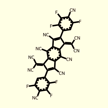 N#CC(C#N)=C1C(c2cc(F)c(C#N)c(F)c2F)=C(C#N)c2c(C#N)c3c(c(C#N)c21)C(C#N)=C(c1cc(F)c(C#N)c(F)c1F)C3=C(C#N)C#N